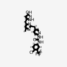 Cc1cc(Cc2cc(O)n[nH]2)nc(Cc2ccc(NC(=O)Nc3ccc(Cl)c(C(F)(F)F)c3)nc2)n1